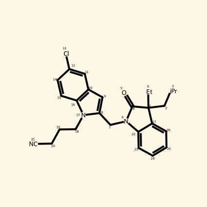 CCC1(CC(C)C)C(=O)N(Cc2cc3cc(Cl)ccc3n2CCCC#N)c2ccccc21